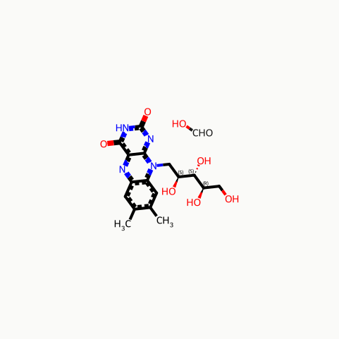 Cc1cc2nc3c(=O)[nH]c(=O)nc-3n(C[C@H](O)[C@H](O)[C@H](O)CO)c2cc1C.O=CO